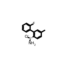 Cc1ccc([S+](N)[O-])c(-c2ccccc2F)c1